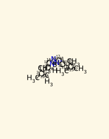 Cc1cc(C)c(-c2ccc3c(c2)C=CC2=Nc4ccc5cc(-c6c(C)cc(C)cc6C)ccc5[n+]4BN23)c(C)c1